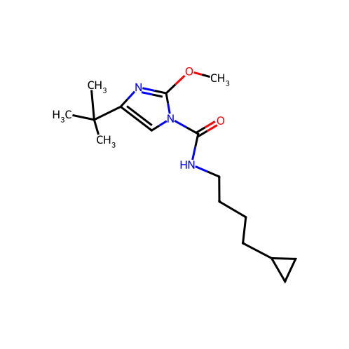 COc1nc(C(C)(C)C)cn1C(=O)NCCCCC1CC1